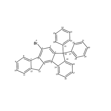 Brc1cc2c(c3c1-c1ccccc1C3)-c1ccccc1C2(c1ccccc1)c1ccccc1